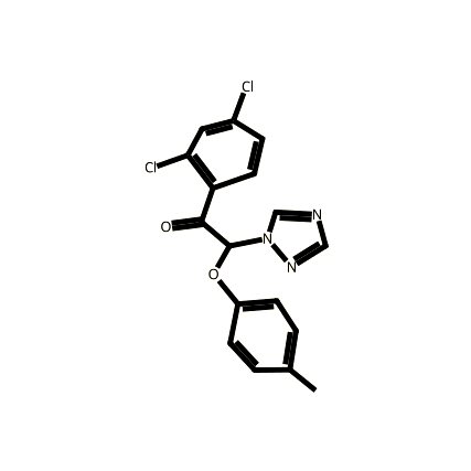 Cc1ccc(OC(C(=O)c2ccc(Cl)cc2Cl)n2cncn2)cc1